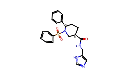 O=C(NCc1cnc[nH]1)[C@@H]1CC[C@H](c2ccccc2)N(S(=O)(=O)c2ccccc2)C1